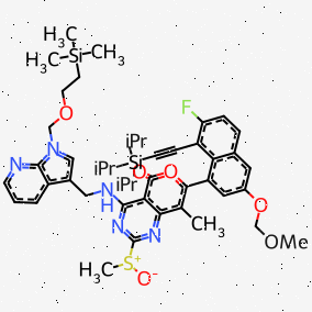 COCOc1cc(-c2oc(=O)c3c(NCc4cn(COCC[Si](C)(C)C)c5ncccc45)nc([S+](C)[O-])nc3c2C)c2c(C#C[Si](C(C)C)(C(C)C)C(C)C)c(F)ccc2c1